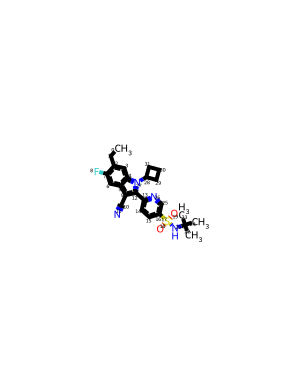 CCc1cc2c(cc1F)c(C#N)c(-c1ccc(S(=O)(=O)NC(C)(C)C)cn1)n2C1CCC1